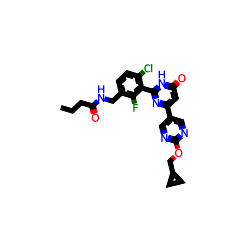 CCCC(=O)NCc1ccc(Cl)c(-c2nc(-c3cnc(OCC4CC4)nc3)cc(=O)[nH]2)c1F